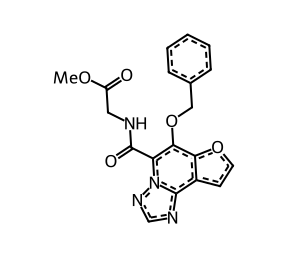 COC(=O)CNC(=O)c1c(OCc2ccccc2)c2occc2c2ncnn12